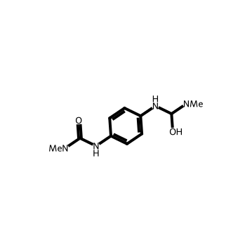 CNC(=O)Nc1ccc(NC(O)NC)cc1